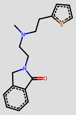 CN(CCc1cccs1)CCN1Cc2ccccc2C1=O